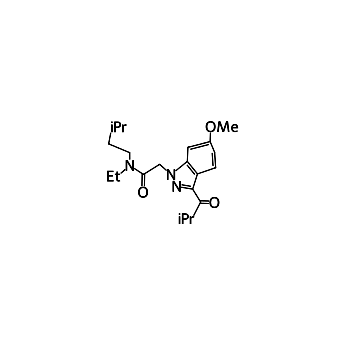 CCN(CCC(C)C)C(=O)Cn1nc(C(=O)C(C)C)c2ccc(OC)cc21